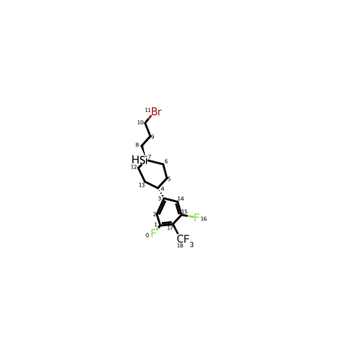 Fc1cc([C@H]2CC[Si@H](CCCBr)CC2)cc(F)c1C(F)(F)F